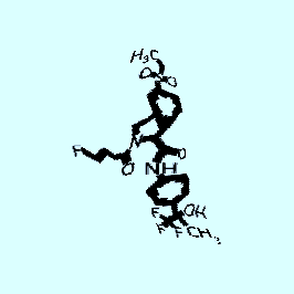 CCS(=O)(=O)c1ccc2c(c1)CN(C(=O)CCF)C2C(=O)Nc1ccc(C(C)(O)C(F)(F)F)cc1